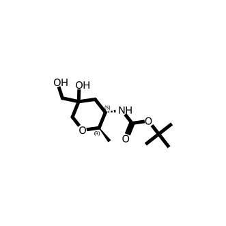 C[C@H]1OCC(O)(CO)C[C@@H]1NC(=O)OC(C)(C)C